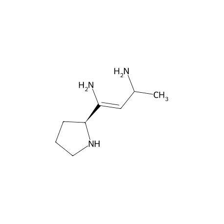 CC(N)/C=C(\N)[C@@H]1CCCN1